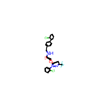 O=C(COc1cc(C(F)(F)F)nn1-c1ccccc1Cl)NCc1ccc(-c2ccccc2Cl)cc1